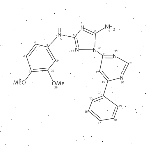 COc1ccc(Nc2nc(N)n(-c3cc(-c4ccccc4)ncn3)n2)cc1OC